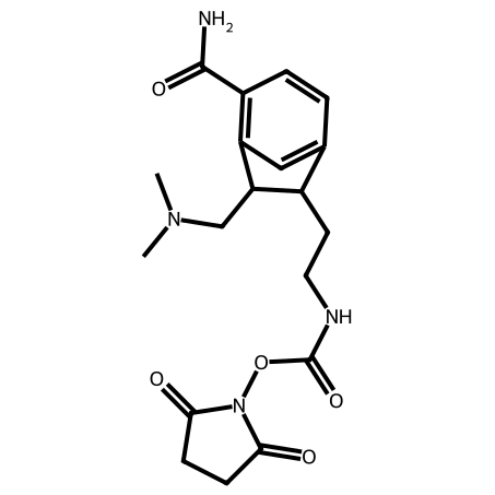 CN(C)CC1c2cc(ccc2C(N)=O)C1CCNC(=O)ON1C(=O)CCC1=O